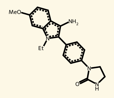 CCn1c(-c2ccc(N3CCNC3=O)cc2)c(N)c2ccc(OC)cc21